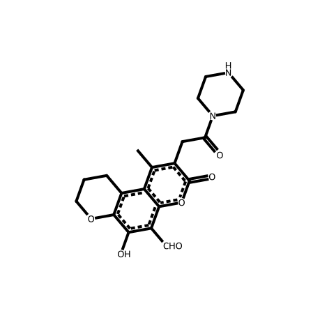 Cc1c(CC(=O)N2CCNCC2)c(=O)oc2c(C=O)c(O)c3c(c12)CCCO3